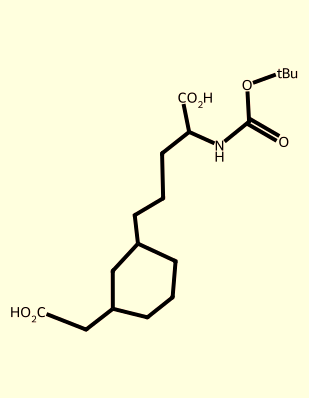 CC(C)(C)OC(=O)NC(CCCC1CCCC(CC(=O)O)C1)C(=O)O